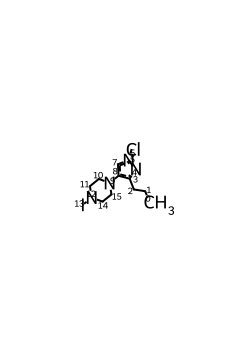 CCCc1nn(Cl)cc1N1CCN(I)CC1